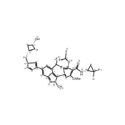 COc1cc(-c2c3c(C(F)F)cc(-c4cnn(C[C@H]5C[C@@H](O)C5)c4)cc3nn2C)cc(OC(F)F)c1C(=O)N[C@@H]1CC1(F)F